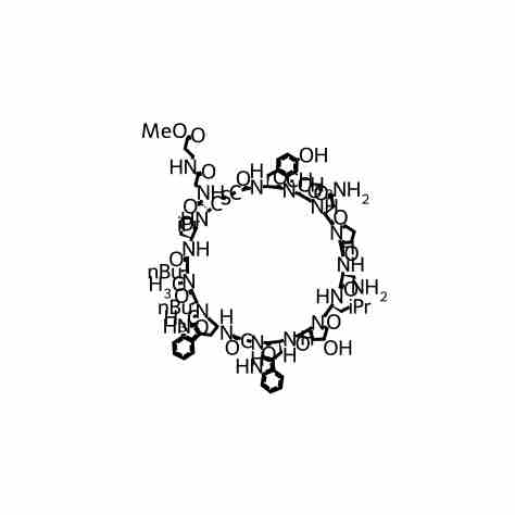 CCCC[C@H]1C(=O)N(C)[C@@H](CCCC)C(=O)N[C@@H](CC(C)C)C(=O)N[C@H](C(=O)NCC(=O)NCCC(=O)OC)CSCC(=O)N[C@@H](Cc2ccc(O)cc2)C(=O)N(C)[C@@H](C)C(=O)N[C@@H](CC(N)=O)C(=O)N2CCC[C@H]2C(=O)N[C@@H](CN)C(=O)N[C@@H](CC(C)C)C(=O)N2C[C@H](O)C[C@H]2C(=O)N[C@@H](Cc2c[nH]c3ccccc23)C(=O)NCC(=O)NC(Cc2c[nH]c3ccccc23)C(=O)N1C